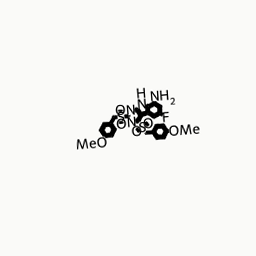 COc1ccc(CS(=O)(=O)c2nc(S(=O)(=O)Cc3ccc(OC)cc3)c3c(n2)[nH]c2c(N)cc(F)cc23)cc1